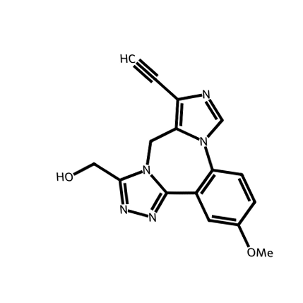 C#Cc1ncn2c1Cn1c(CO)nnc1-c1cc(OC)ccc1-2